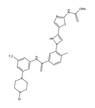 CCN1CCN(c2cc(NC(=O)c3ccc(C)c(-n4cc(-c5cnc(NC(=O)OC)s5)[nH]4)c3)cc(C(F)(F)F)c2)CC1